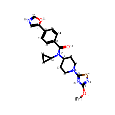 CC(C)Oc1nsc(N2CCC(N(C(=O)c3ccc(-c4cnco4)cc3)C3CC3)CC2)n1